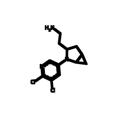 NCCC1CC2CC2N1c1cnc(Cl)c(Cl)c1